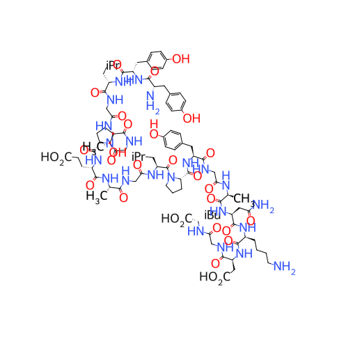 CC[C@H](C)[C@H](NC(=O)CNC(=O)[C@H](CC(=O)O)NC(=O)[C@H](CCCCN)NC(=O)[C@H](CC(N)=O)NC(=O)[C@H](C)NC(=O)CNC(=O)[C@H](Cc1ccc(O)cc1)NC(=O)[C@@H]1CCCN1C(=O)[C@H](CC(C)C)NC(=O)CNC(=O)[C@H](C)NC(=O)[C@H](CCC(=O)O)NC(=O)[C@@H]1CCCN1C(=O)CNC(=O)[C@@H](NC(=O)CNC(=O)[C@H](CC(C)C)NC(=O)[C@H](Cc1ccc(O)cc1)NC(=O)[C@@H](N)Cc1ccc(O)cc1)[C@@H](C)O)C(=O)O